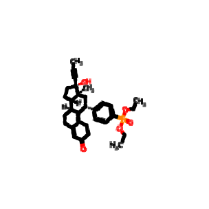 CC#C[C@]1(O)CC[C@H]2[C@@H]3CCC4=CC(=O)CCC4=C3[C@@H](c3ccc(P(=O)(OCC)OCC)cc3)C[C@@]21C